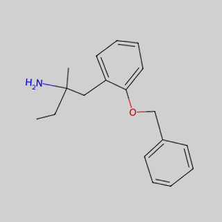 CCC(C)(N)Cc1ccccc1OCc1ccccc1